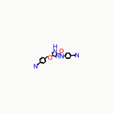 N#Cc1ccc(CO[C@@H]2CN[C@@H](C(=O)Nc3ccc(C#N)cc3)C2)cc1